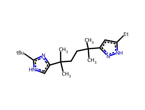 CCc1cc(C(C)(C)CCC(C)(C)c2c[nH]c(C(C)(C)C)n2)n[nH]1